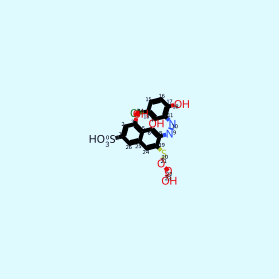 O=S(=O)(O)c1cc(O)c2c(O)c(/N=N\c3cc(Cl)ccc3O)c(SOOO)cc2c1